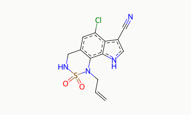 C=CCN1c2c(cc(Cl)c3c(C#N)c[nH]c23)CNS1(=O)=O